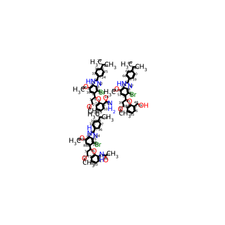 COCCC(Oc1ccccc1C(N)=O)c1cc(OC)c2[nH]c(-c3ccc(C(C)C)cc3)nc2c1Br.COCCC(Oc1ccccc1CO)c1cc(OC)c2[nH]c(-c3ccc(C(C)C)cc3)nc2c1Br.COCCC(Oc1ccccc1NC(C)=O)c1cc(OC)c2[nH]c(-c3ccc(C(C)C)cc3)nc2c1Br